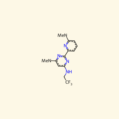 CNc1cccc(-c2nc(NC)cc(NCC(F)(F)F)n2)n1